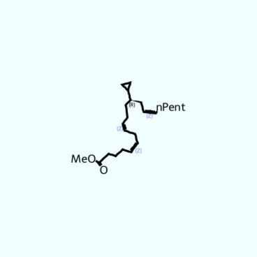 CCCCC/C=C\C[C@@H](CC/C=C\C/C=C\CCCC(=O)OC)C1CC1